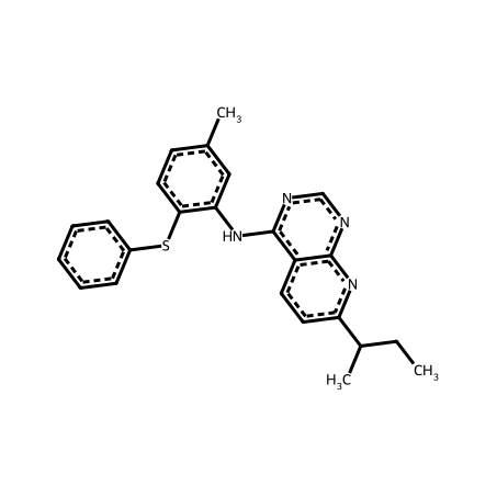 CCC(C)c1ccc2c(Nc3cc(C)ccc3Sc3ccccc3)ncnc2n1